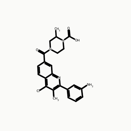 Cc1c(-c2cccc(N)c2)nc2cc(C(=O)N3CCN(C(=O)O)C(C)C3)ccc2c1Cl